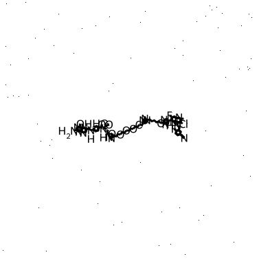 Cc1nc2cc(F)c(-c3cnc(OCCCCCn4cc(COCCOCCOCCOCCc5nnc(CC[C@H](NC(=O)c6ccc(NCc7cnc8nc(N)nc(O)c8n7)cc6)C(=O)O)o5)nn4)nc3)nc2c(N[C@H](C)c2cc(C#N)ccc2F)c1Cl